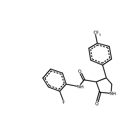 O=C1NCC(c2ccc(C(F)(F)F)cc2)C1C(=O)Nc1ccccc1F